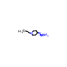 CCCN1CCC(N=NN)CC1